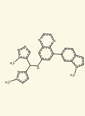 Cn1ccc(C(Nc2cc(-c3ccc4ccn(C)c4c3)c3nccnc3c2)c2cnnn2C)n1